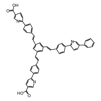 O=C(O)c1ccc(-c2ccc(/C=C/c3cc(/C=C/c4ccc(-c5ccc(C(=O)O)cn5)cc4)cc(/C=C/c4ccc(-c5ccc(-c6ccccc6)cn5)cc4)c3)cc2)nc1